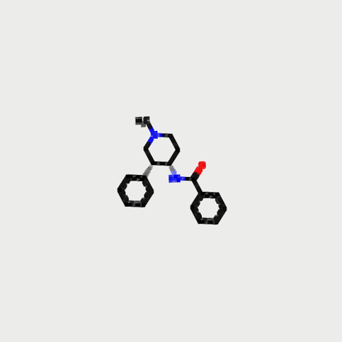 CN1CC[C@H](NC(=O)c2ccccc2)[C@H](c2ccccc2)C1